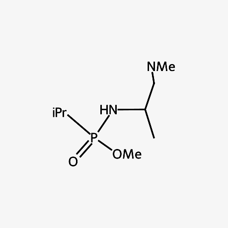 CNCC(C)NP(=O)(OC)C(C)C